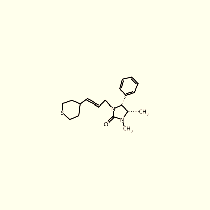 C[C@H]1[C@@H](c2ccccc2)N(CC=CC2CCSCC2)C(=O)N1C